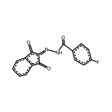 O=C(NN=c1c(=O)c2ccccc2c1=O)c1ccc(F)cc1